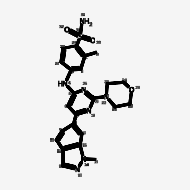 Cc1cc(Nc2cc(-c3ccc4cnn(C)c4c3)nc(N3CCOCC3)n2)ccc1S(N)(=O)=O